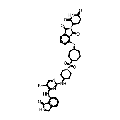 O=C1CCC(N2C(=O)c3cccc(NC4CCCC(S(=O)(=O)N5CCC(Nc6ncc(Br)c(Nc7cccc8c7C(=O)NC8)n6)CC5)CC4)c3C2=O)C(=O)N1